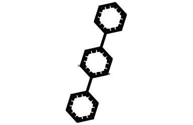 [c]1cc(-c2ccccc2)c[c]c1-c1ccccc1